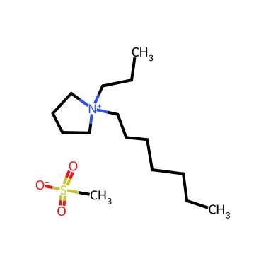 CCCCCCC[N+]1(CCC)CCCC1.CS(=O)(=O)[O-]